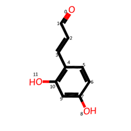 O=[C]C=Cc1ccc(O)cc1O